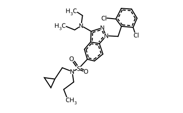 CCCN(CC1CC1)S(=O)(=O)c1ccc2c(c1)c(N(CC)CC)nn2Cc1c(Cl)cccc1Cl